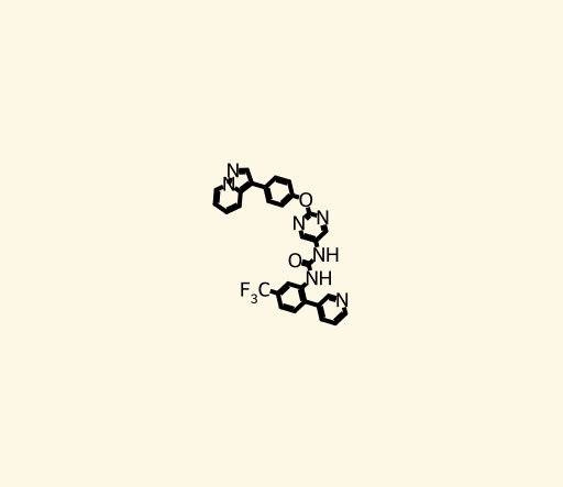 O=C(Nc1cnc(Oc2ccc(-c3cnn4ccccc34)cc2)nc1)Nc1cc(C(F)(F)F)ccc1-c1cccnc1